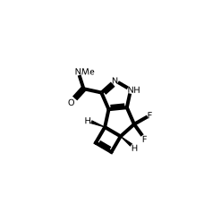 CNC(=O)c1n[nH]c2c1[C@H]1C=C[C@H]1C2(F)F